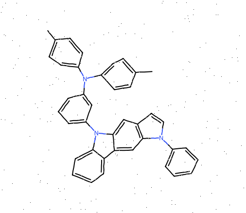 Cc1ccc(N(c2ccc(C)cc2)c2cccc(-n3c4ccccc4c4cc5c(ccn5-c5ccccc5)cc43)c2)cc1